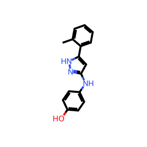 Cc1ccccc1-c1cc(Nc2ccc(O)cc2)n[nH]1